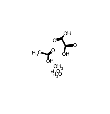 CC(=O)O.O.O.O.O=C(O)C(=O)O